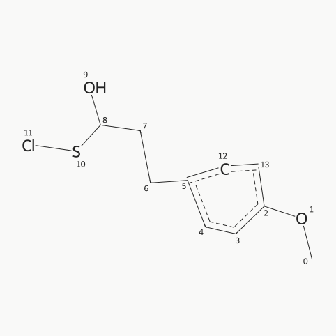 COc1ccc(CCC(O)SCl)cc1